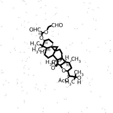 CC(=O)O[C@@H](C1C[C@@H](C)[C@H]2C(O1)C(=O)[C@@]1(C)C3CC[C@H]4C(C)(C)[C@@H](O[C@@H](C=O)OCC=O)CC[C@@]45CC35CC[C@]21C)C(C)(C)O